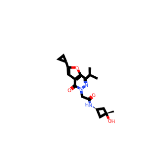 CC(C)c1nn(CC(=O)N[C@H]2C[C@@](C)(O)C2)c(=O)c2cc(C3CC3)oc12